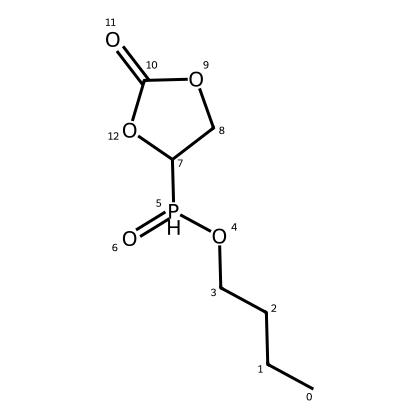 CCCCO[PH](=O)C1COC(=O)O1